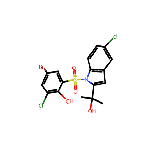 CC(C)(O)c1cc2cc(Cl)ccc2n1S(=O)(=O)c1cc(Br)cc(Cl)c1O